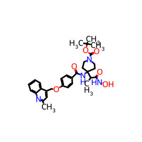 Cc1cc(COc2ccc(C(=O)NC3(C(C)C(=O)NO)CCN(C(=O)OC(C)(C)C)CC3)cc2)c2ccccc2n1